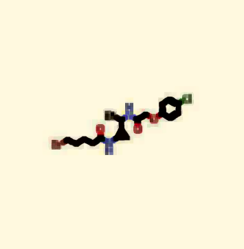 CCC(NC(=O)COc1ccc(Cl)cc1)C1CC1NC(=O)CCCCBr